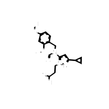 COc1ccc(CN(C=O)c2cc(C3CC3)nn2CCC(C)N)c(OC)c1